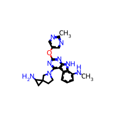 CNc1cccc2c1[nH]c1nc(Oc3cnc(C)nc3)nc(N3CCC4(CC4N)C3)c12